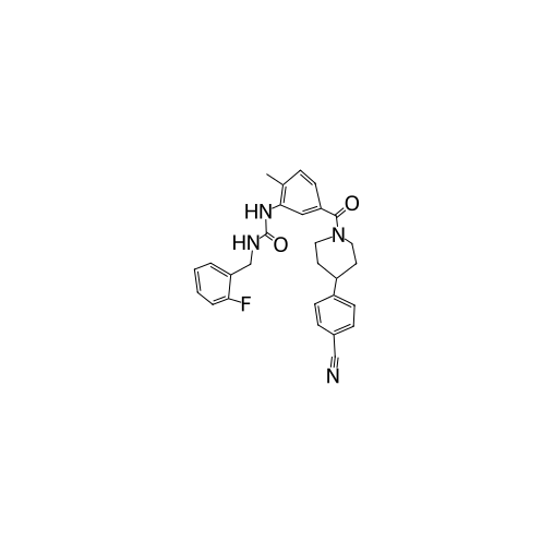 Cc1ccc(C(=O)N2CCC(c3ccc(C#N)cc3)CC2)cc1NC(=O)NCc1ccccc1F